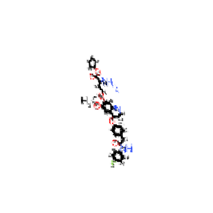 COc1cc2c(Oc3ccc(CC(=O)Nc4ccc(F)cc4)cc3)ccnc2cc1OCCC(N)C(=O)OC1CCCC1